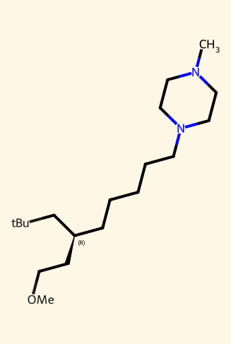 COCC[C@H](CCCCCN1CCN(C)CC1)CC(C)(C)C